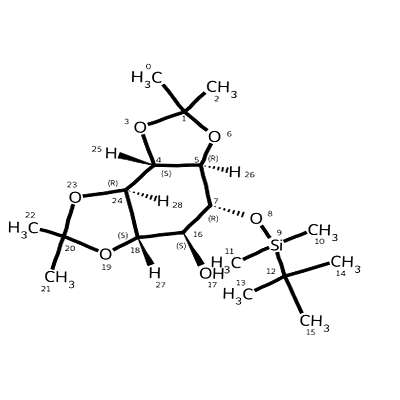 CC1(C)O[C@@H]2[C@@H](O1)[C@H](O[Si](C)(C)C(C)(C)C)[C@@H](O)[C@@H]1OC(C)(C)O[C@@H]21